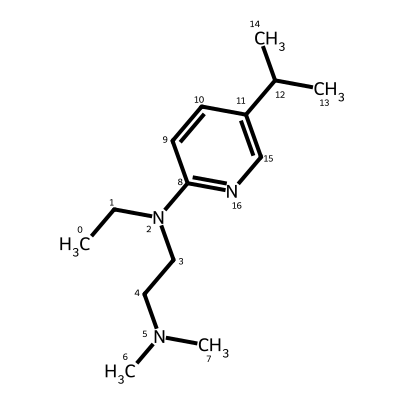 CCN(CCN(C)C)c1ccc(C(C)C)cn1